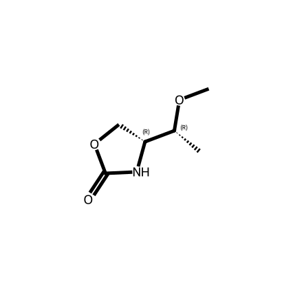 CO[C@H](C)[C@H]1COC(=O)N1